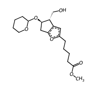 COC(=O)CCCCc1cc2c(o1)C[C@@H](OC1CCCCO1)[C@@H]2CO